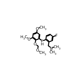 COCOc1c(OC)cc(OC)cc1Pc1ccc(F)cc1CN(C)C